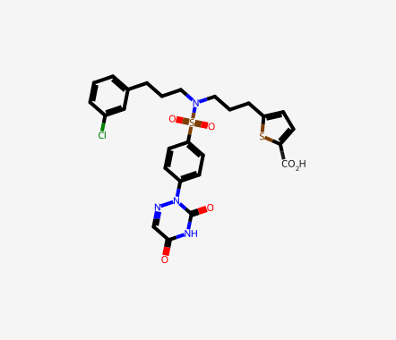 O=C(O)c1ccc(CCCN(CCCc2cccc(Cl)c2)S(=O)(=O)c2ccc(-n3ncc(=O)[nH]c3=O)cc2)s1